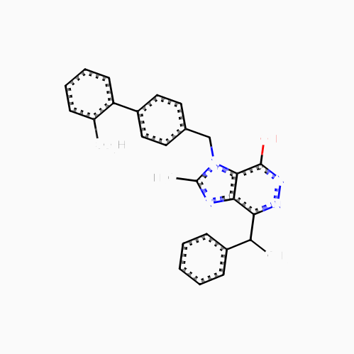 Cc1nc2c(C(C)c3ccccc3)nnc(O)c2n1Cc1ccc(-c2ccccc2C(=O)O)cc1